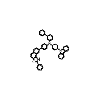 C1=CC(N(c2ccc(-c3ccc4ccc5oc(-c6ccccc6)nc5c4c3)cc2)c2cccc(-c3ccccc3)c2)CC=C1n1c2ccccc2c2ccccc21